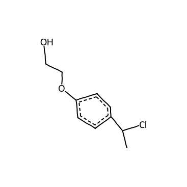 CC(Cl)c1ccc(OCCO)cc1